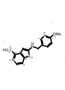 COc1ccc(CNc2cc3c(C(=O)O)nccc3s2)cn1